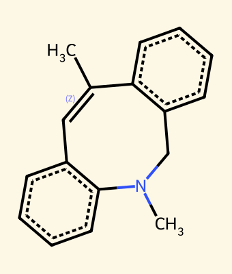 C/C1=C/c2ccccc2N(C)Cc2ccccc21